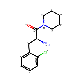 N[C@@H](Cc1ccccc1Cl)C(=O)N1CCCCC1